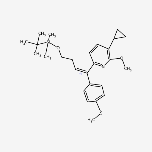 COc1nc(/C(=C\CCO[Si](C)(C)C(C)(C)C)c2ccc(SC)cc2)ccc1C1CC1